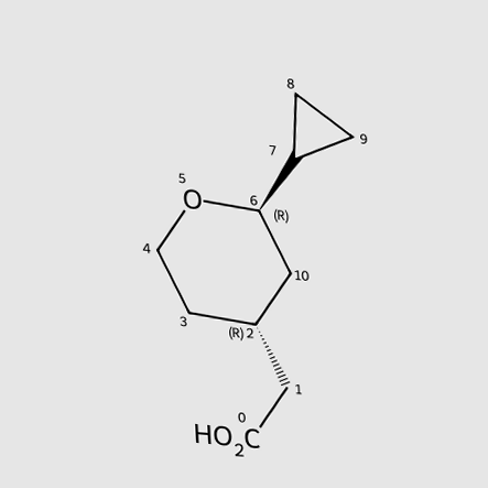 O=C(O)C[C@@H]1CCO[C@@H](C2CC2)C1